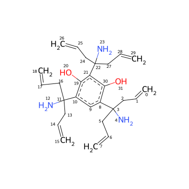 C=CCC(N)(CC=C)c1cc(C(N)(CC=C)CC=C)c(O)c(C(N)(CC=C)CC=C)c1O